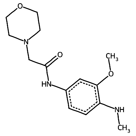 CNc1ccc(NC(=O)CN2CCOCC2)cc1OC